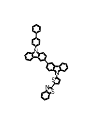 c1ccc(-c2ccc(-n3c4ccccc4c4cc(-c5ccc6c(c5)c5ccccc5n6-c5ccc(-c6nc7ccccc7s6)s5)ccc43)cc2)cc1